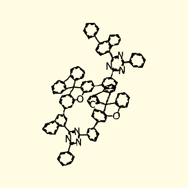 c1ccc(-c2nc(-c3cccc(-c4ccc5c(c4)Oc4ccccc4C54c5ccccc5-c5ccccc54)c3)nc(-c3cc(-c4ccc5c(c4)Oc4cc(-c6cccc(-c7nc(-c8ccccc8)nc(-c8ccc(-c9ccccc9)c9ccccc89)n7)c6)ccc4C54c5ccccc5-c5ccccc54)cc4ccccc34)n2)cc1